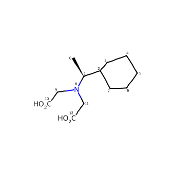 C[C@@H](C1CCCCC1)N(CC(=O)O)CC(=O)O